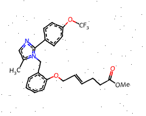 COC(=O)CCC=CCOc1ccccc1Cn1c(C)cnc1-c1ccc(OC(F)(F)F)cc1